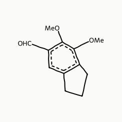 COc1c(C=O)cc2c(c1OC)CCC2